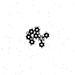 c1ccc(-c2nc(-c3ccccc3)nc(-c3cc(-n4c5ccccc5c5ccc6oc7ccccc7c6c54)cc4c3sc3ccccc34)n2)cc1